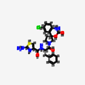 Nc1nc(C(=O)N[C@@H](Cc2ccccc2)C(=O)N2CCC3(C2)OC(=O)Nc2ccc(Cl)cc23)cs1